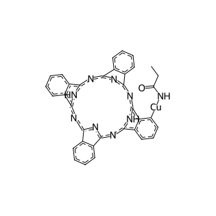 CCC(=O)[NH][Cu][c]1cccc2c3nc4nc(nc5[nH]c(nc6nc(nc([nH]3)c12)-c1ccccc1-6)c1ccccc51)-c1ccccc1-4